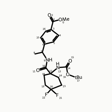 COC(=O)c1ccc(C(C)NC(=O)C2(NC(=O)OC(C)(C)C)CCC(F)(F)CC2)cc1